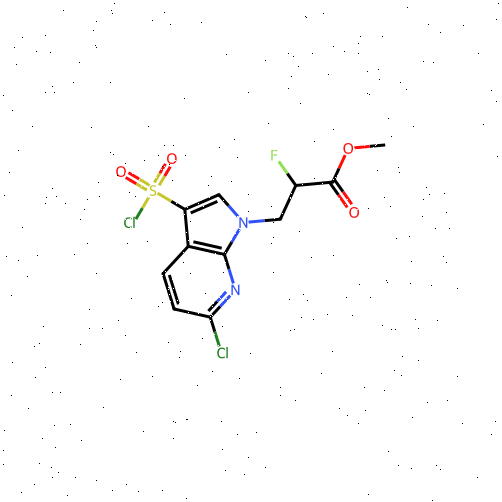 COC(=O)C(F)Cn1cc(S(=O)(=O)Cl)c2ccc(Cl)nc21